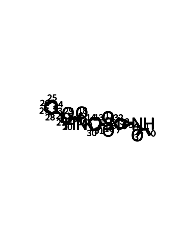 C=CC(=O)NC1C2CN(S(=O)(=O)c3ccc(NC(=O)c4ccc(-c5ccccc5)o4)cc3)CC21